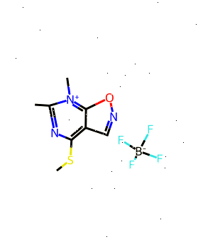 CSc1nc(C)[n+](C)c2oncc12.F[B-](F)(F)F